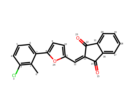 Cc1c(Cl)cccc1-c1ccc(C=C2C(=O)c3ccccc3C2=O)o1